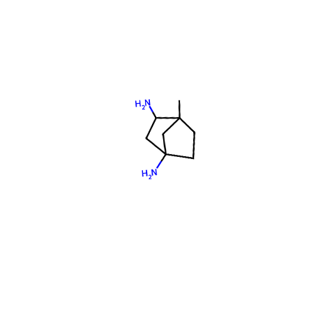 CC12CCC(N)(CC1N)C2